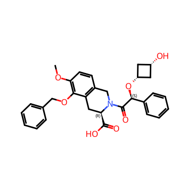 COc1ccc2c(c1OCc1ccccc1)C[C@H](C(=O)O)N(C(=O)[C@@H](O[C@H]1C[C@@H](O)C1)c1ccccc1)C2